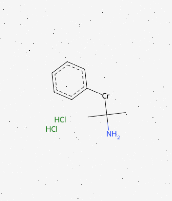 C[C](C)(N)[Cr][c]1ccccc1.Cl.Cl